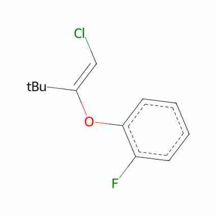 CC(C)(C)C(=CCl)Oc1ccccc1F